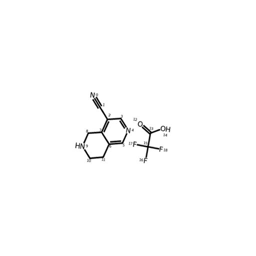 N#Cc1cncc2c1CNCC2.O=C(O)C(F)(F)F